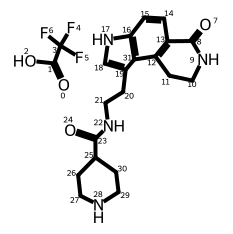 O=C(O)C(F)(F)F.O=C1NCCc2c1ccc1[nH]cc(CCNC(=O)C3CCNCC3)c21